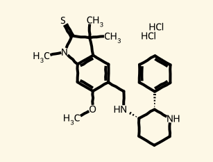 COc1cc2c(cc1CN[C@H]1CCCN[C@H]1c1ccccc1)C(C)(C)C(=S)N2C.Cl.Cl